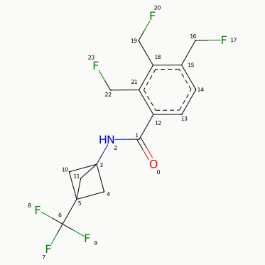 O=C(NC12CC(C(F)(F)F)(C1)C2)c1ccc(CF)c(CF)c1CF